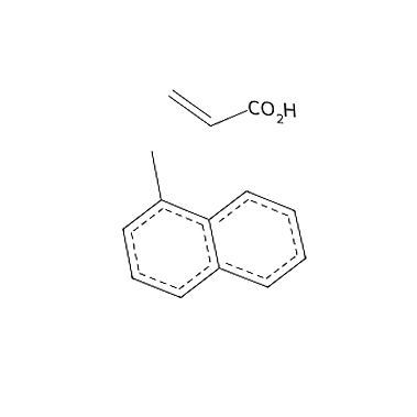 C=CC(=O)O.Cc1cccc2ccccc12